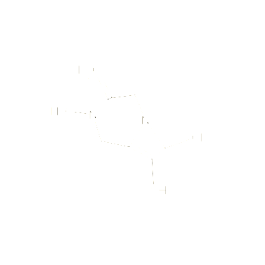 C=C1CN2C(=C(C)C2C)CN1C